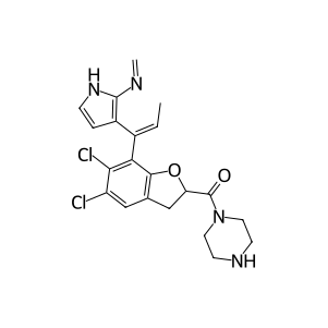 C=Nc1[nH]ccc1/C(=C\C)c1c(Cl)c(Cl)cc2c1OC(C(=O)N1CCNCC1)C2